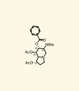 CN[C@H]1CN2CC[C@H](OC(C)=O)C2[C@@H](OC(C)=O)[C@@H]1OC(=O)c1ccccc1